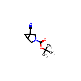 CC(C)(C)OC(=O)N1CC2CC2(C#N)C1